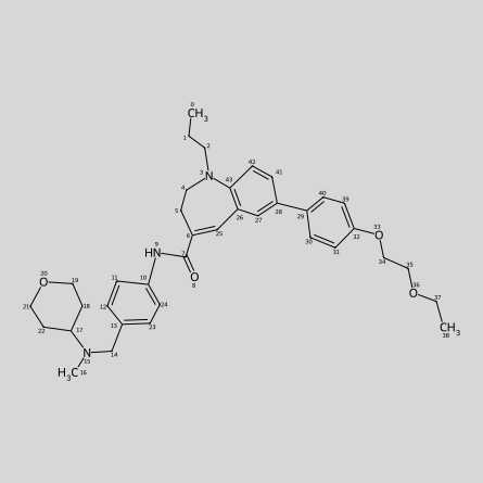 CCCN1CCC(C(=O)Nc2ccc(CN(C)C3CCOCC3)cc2)=Cc2cc(-c3ccc(OCCOCC)cc3)ccc21